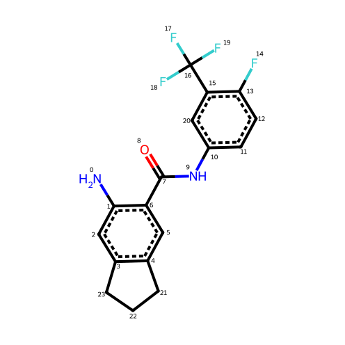 Nc1cc2c(cc1C(=O)Nc1ccc(F)c(C(F)(F)F)c1)CCC2